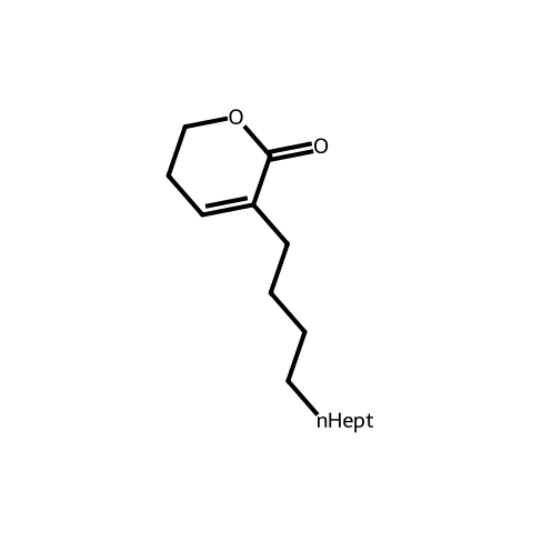 CCCCCCCCCCCC1=CCCOC1=O